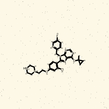 CC1(Oc2ncnc3c2nc(-c2ccc(OCCN4CCNCC4)cc2Cl)n3Cc2ccc(F)cn2)CC1